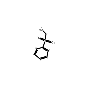 O=S(=O)(CO)c1ccccc1